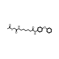 CC(=O)SCC(=O)NCCCCCC(=O)Nc1ccc(Oc2ccccc2)cc1